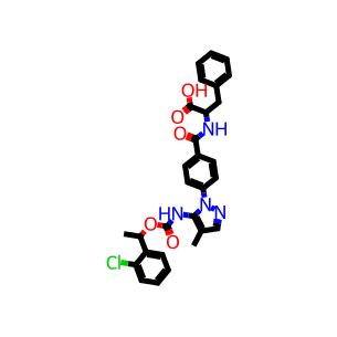 Cc1cnn(-c2ccc(C(=O)NC(Cc3ccccc3)C(=O)O)cc2)c1NC(=O)OC(C)c1ccccc1Cl